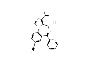 C#Cc1ccc2c(c1)C(c1ccccn1)=N[C@@H](C)c1c(C(=O)NC)ncn1-2